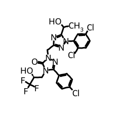 CC(O)c1nc(Cn2nc(-c3ccc(Cl)cc3)n(C[C@H](O)C(F)(F)F)c2=O)nn1-c1cc(Cl)ccc1Cl